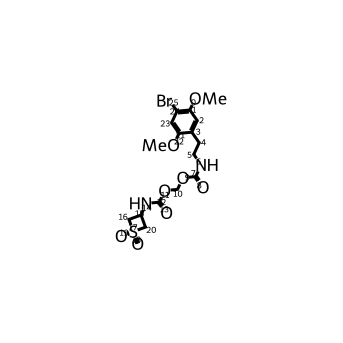 COc1cc(CCNC(=O)OCOC(=O)NC2CS(=O)(=O)C2)c(OC)cc1Br